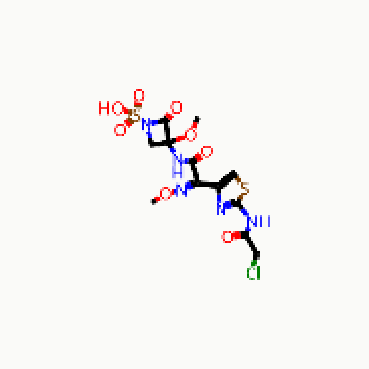 CON=C(C(=O)NC1(OC)CN(S(=O)(=O)O)C1=O)c1csc(NC(=O)CCl)n1